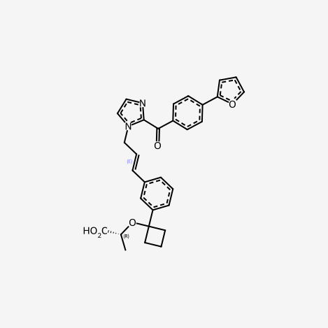 C[C@@H](OC1(c2cccc(/C=C/Cn3ccnc3C(=O)c3ccc(-c4ccco4)cc3)c2)CCC1)C(=O)O